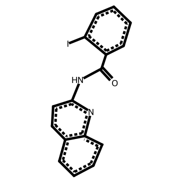 O=C(Nc1ccc2ccccc2n1)c1ccccc1I